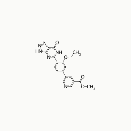 CCOc1cc(-c2cncc(C(=O)OC)c2)ccc1-c1nc2[nH]nnc2c(=O)[nH]1